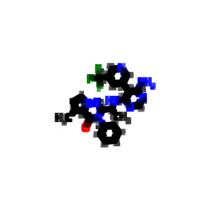 Cc1ccn2nc(C(C)Nc3ncnc(N)c3-c3cncc(C(F)(F)F)c3)n(-c3ccccc3)c(=O)c12